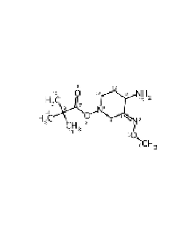 CO/N=C1\CN(OC(=O)C(C)(C)C)CCC1N